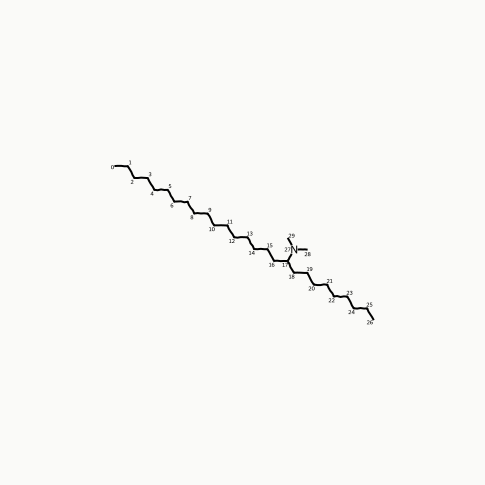 CCCCCCCCCCCCCCCCCC(CCCCCCCCC)N(C)C